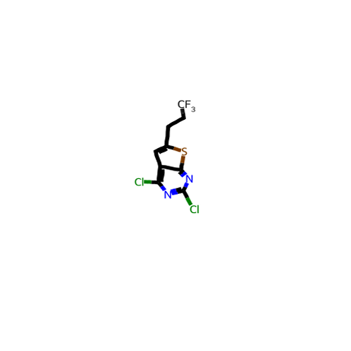 FC(F)(F)CCc1cc2c(Cl)nc(Cl)nc2s1